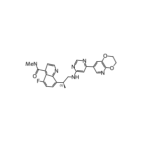 CNC(=O)c1ccnc2c([C@H](C)CNc3cc(-c4cnc5c(c4)OCCO5)ncn3)ccc(F)c12